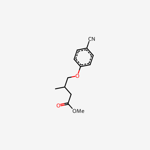 COC(=O)CC(C)COc1ccc(C#N)cc1